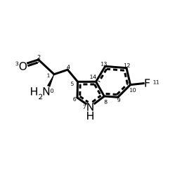 N[C@@H]([C]=O)Cc1c[nH]c2cc(F)ccc12